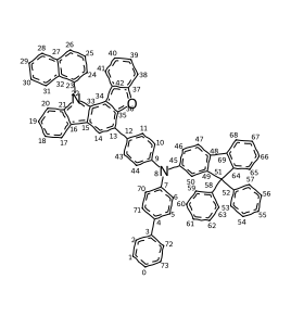 c1ccc(-c2ccc(N(c3ccc(-c4cc5c6ccccc6n(-c6cccc7ccccc67)c5c5c4oc4ccccc45)cc3)c3ccc4c(c3)C(c3ccccc3)(c3ccccc3)c3ccccc3-4)cc2)cc1